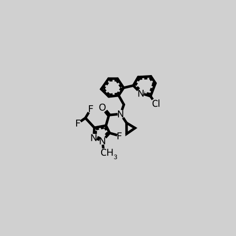 Cn1nc(C(F)F)c(C(=O)N(Cc2ccccc2-c2cccc(Cl)n2)C2CC2)c1F